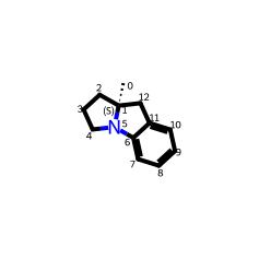 C[C@@]12CCCN1c1ccccc1C2